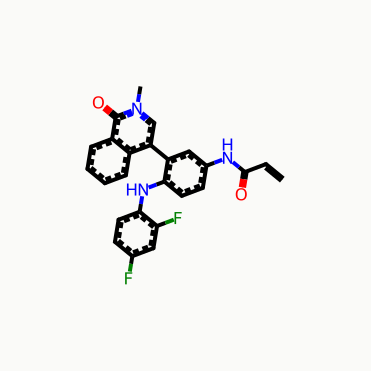 C=CC(=O)Nc1ccc(Nc2ccc(F)cc2F)c(-c2cn(C)c(=O)c3ccccc23)c1